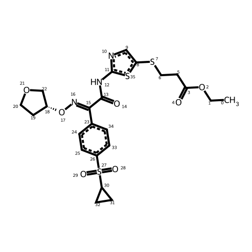 CCOC(=O)CCSc1cnc(NC(=O)/C(=N/O[C@@H]2CCOC2)c2ccc(S(=O)(=O)C3CC3)cc2)s1